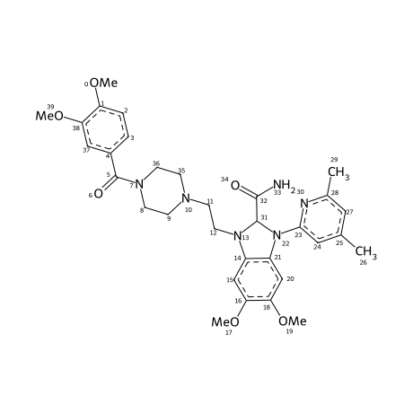 COc1ccc(C(=O)N2CCN(CCN3c4cc(OC)c(OC)cc4N(c4cc(C)cc(C)n4)C3C(N)=O)CC2)cc1OC